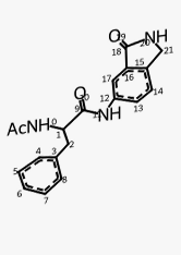 CC(=O)NC(Cc1ccccc1)C(=O)Nc1ccc2c(c1)C(=O)NC2